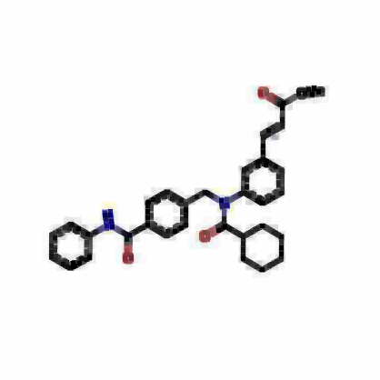 COC(=O)/C=C/c1cccc(N(Cc2ccc(C(=O)Nc3ccccc3)cc2)C(=O)C2CCCCC2)c1